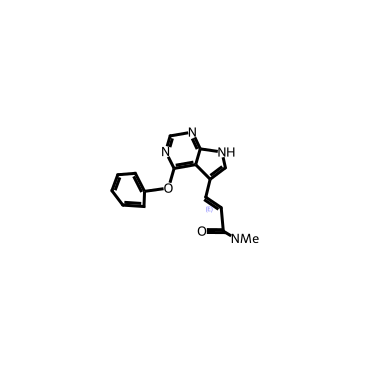 CNC(=O)/C=C/c1c[nH]c2ncnc(Oc3ccccc3)c12